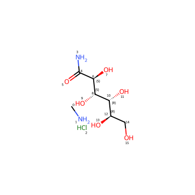 CN.Cl.NC(=O)[C@@H](O)[C@@H](O)[C@H](O)[C@H](O)CO